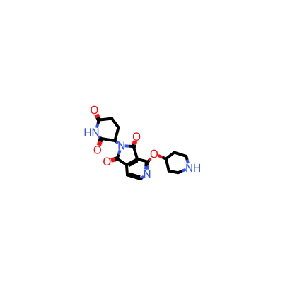 O=C1CCC(N2C(=O)c3ccnc(OC4CCNCC4)c3C2=O)C(=O)N1